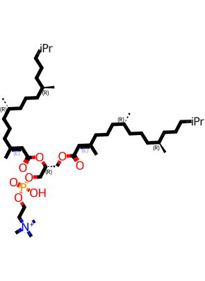 C/C(=C\C(=O)OC[C@H](COP(=O)(O)OCC[N+](C)(C)C)OC(=O)/C=C(\C)CCC[C@H](C)CCC[C@H](C)CCCC(C)C)CCC[C@H](C)CCC[C@H](C)CCCC(C)C